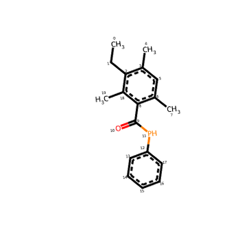 CCc1c(C)cc(C)c(C(=O)Pc2ccccc2)c1C